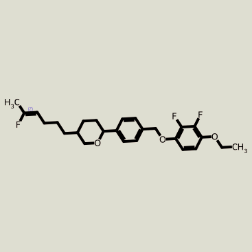 CCOc1ccc(OCc2ccc(C3CCC(CCC/C=C(/C)F)CO3)cc2)c(F)c1F